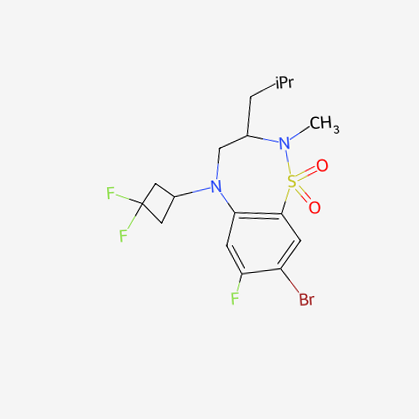 CC(C)CC1CN(C2CC(F)(F)C2)c2cc(F)c(Br)cc2S(=O)(=O)N1C